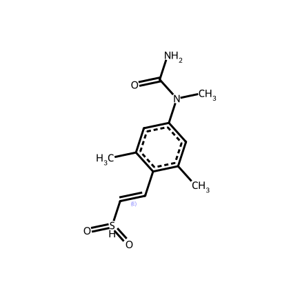 Cc1cc(N(C)C(N)=O)cc(C)c1/C=C/[SH](=O)=O